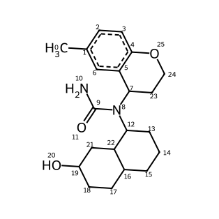 Cc1ccc2c(c1)C(N(C(N)=O)C1CCCC3CCC(O)CC31)CCO2